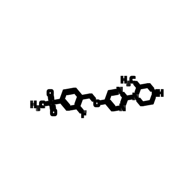 CC1CNCCN1c1ncc(OCc2ccc(S(C)(=O)=O)cc2F)cn1